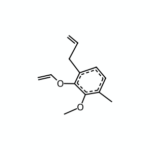 C=CCc1ccc(C)c(OC)c1OC=C